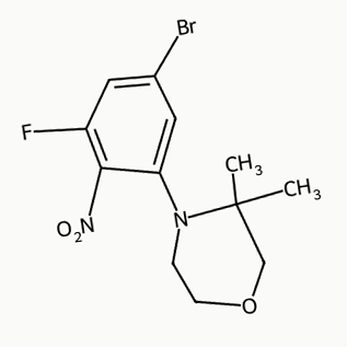 CC1(C)COCCN1c1cc(Br)cc(F)c1[N+](=O)[O-]